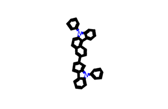 c1ccc(-n2c3ccccc3c3ccc(-c4ccc5c(ccc6c5c5ccccc5n6-c5ccccc5)c4)cc32)cc1